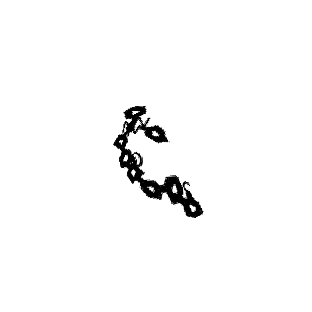 c1ccc(-c2nc(-c3ccccc3)nc(-c3cccc(-c4ccc5c(c4)oc4cc(-c6cccc(-c7ccc8sc9ccccc9c8c7)c6)ccc45)c3)n2)cc1